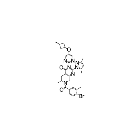 Cc1cc(C)n(-c2nc3c(c(=O)n2-c2ncc(O[C@H]4C[C@@H](C)C4)cn2)CC(C)N(C(=O)c2ccc(Br)c(C)c2)C3)n1